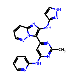 Cc1nc(Nc2ccccn2)cc(-c2c(Nc3cc[nH]n3)nc3cccnn23)n1